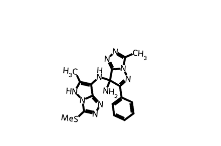 CSc1nnc2c(NC3(N)C(c4ccccc4)=Nn4c(C)nnc43)c(C)[nH]n12